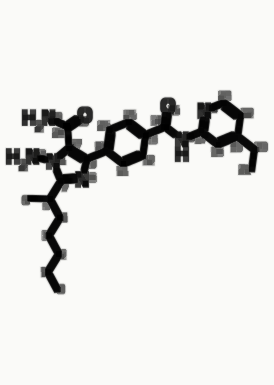 CCCCCC(C)c1nc(-c2ccc(C(=O)Nc3cc(CC)ccn3)cc2)c(C(N)=O)n1N